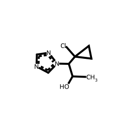 CC(O)C(n1cncn1)C1(Cl)CC1